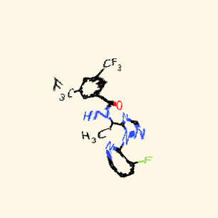 CC(NC(=O)c1cc(C(F)(F)F)cc(C(F)(F)F)c1)c1ncnn1-c1ncccc1F